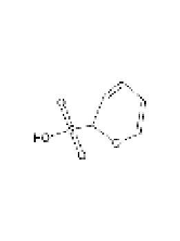 O=S(=O)(O)C1C=CC=CO1